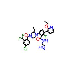 CCOc1ncccc1-c1ccc(N2CCN(C(=O)c3ccc(Cl)cc3C(F)F)C[C@H]2CC)c(C(=O)NCCNC)c1F